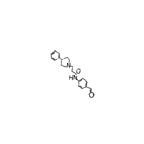 O=Cc1ccc(NC(=O)CCN2CCC(c3ccccc3)CC2)cc1